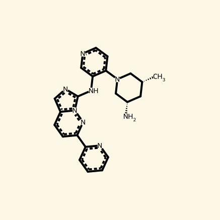 C[C@@H]1C[C@H](N)CN(c2ccncc2Nc2ncc3ccc(-c4ccccn4)nn23)C1